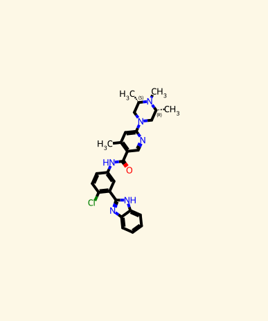 Cc1cc(N2C[C@@H](C)N(C)[C@@H](C)C2)ncc1C(=O)Nc1ccc(Cl)c(-c2nc3ccccc3[nH]2)c1